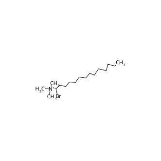 CCCCCCCCCCCCCC(Br)[N+](C)(C)C